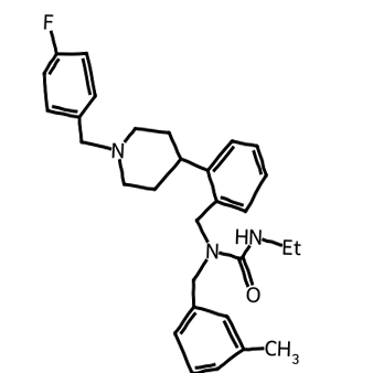 CCNC(=O)N(Cc1cccc(C)c1)Cc1ccccc1C1CCN(Cc2ccc(F)cc2)CC1